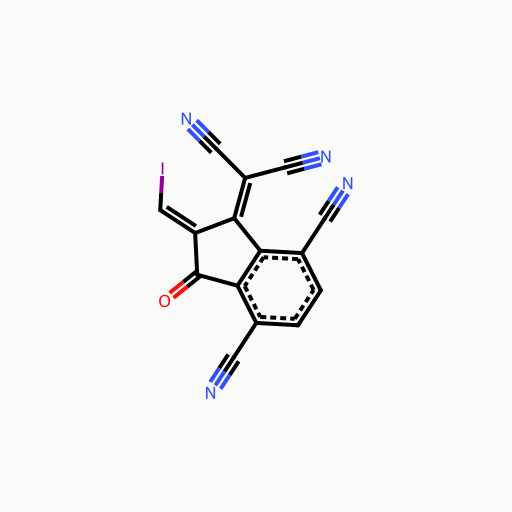 N#CC(C#N)=C1/C(=C\I)C(=O)c2c(C#N)ccc(C#N)c21